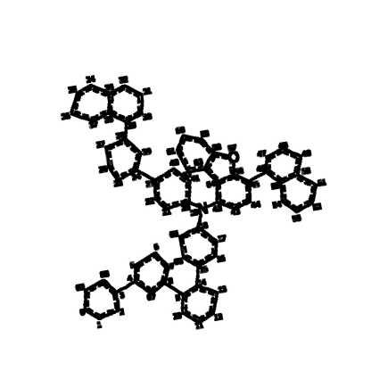 c1ccc(-c2cccc(-c3ccccc3-c3ccc(N(c4ccc(-c5cccc(-c6cccc7ccccc67)c5)cc4)c4ccc(-c5cccc6ccccc56)c5oc6ccccc6c45)cc3)c2)cc1